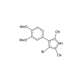 COc1ccc(-c2c(C#N)[nH]c(C#N)c2Br)cc1OC